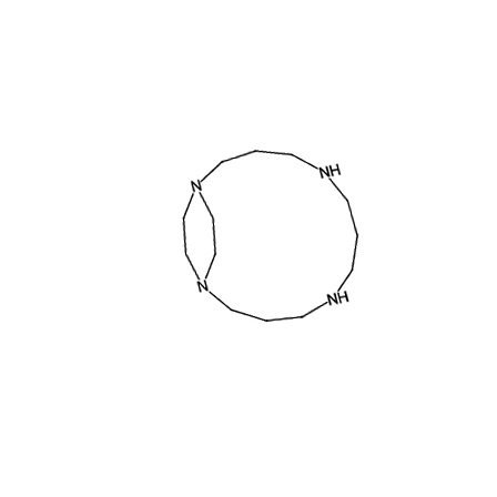 C1CNCCCN2CCN(CCCNC1)CC2